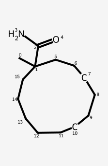 CC1(C(N)=O)CCCCCCCCCCC1